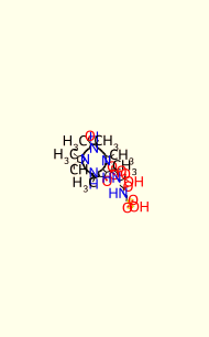 CC[C@H]1c2cc3[nH]c4c(c3C)C(=O)C(C(=O)OC)c4c3nc(cc4[nH]c(cc(n2)[C@@H]1C)c(C(C)=O)c4C)[C@@H](C)[C@@H]3CCC(=O)N[C@@H](CC(=O)NCCS(=O)(=O)O)C(=O)O